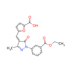 CCOC(=O)c1cccc(N2N=C(C)C(=Cc3ccc(C(=O)O)o3)C2=O)c1